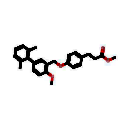 COC(=O)CCc1ccc(OCc2cc(-c3c(C)cccc3C)ccc2OC)cc1